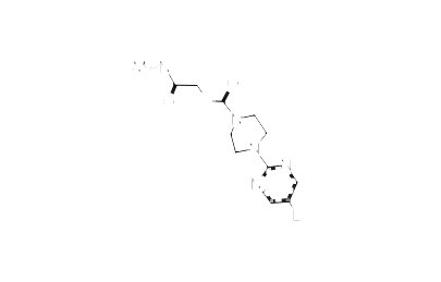 CCc1cnc(N2CCN(C(=O)OCC(=O)NC)CC2)nc1